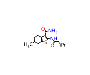 CC(C)CC(=O)Nc1sc2c(c1C(N)=O)CCC(C)C2